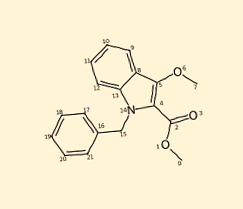 COC(=O)c1c(OC)c2ccccc2n1Cc1ccccc1